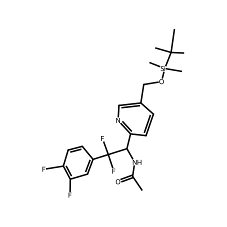 CC(=O)NC(c1ccc(CO[Si](C)(C)C(C)(C)C)cn1)C(F)(F)c1ccc(F)c(F)c1